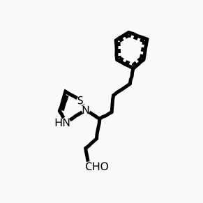 O=CCCC(CCCc1ccccc1)N1NC=CS1